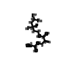 C=C(COC(=O)C(C)(C)C)C(=O)OCCC(F)(F)CC(F)F